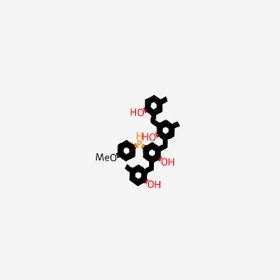 COc1ccc(Pc2cc(Cc3cc(C)ccc3O)c(O)c(Cc3cc(C)cc(Cc4cc(C)ccc4O)c3O)c2)cc1